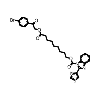 O=C(CCCCCCCCOC(=O)n1c(-c2cscn2)nc2ccccc21)OCC(=O)c1ccc(Br)cc1